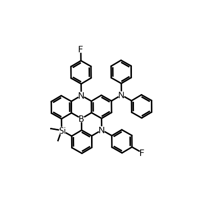 C[Si]1(C)c2cccc3c2B2c4c(cc(N(c5ccccc5)c5ccccc5)cc4N(c4ccc(F)cc4)c4cccc1c42)N3c1ccc(F)cc1